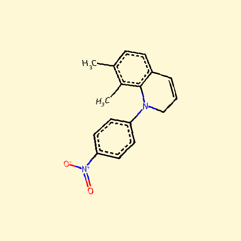 Cc1ccc2c(c1C)N(c1ccc([N+](=O)[O-])cc1)CC=C2